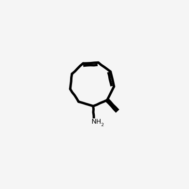 C=C1/C=C\C=C/CCCC1N